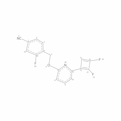 N#Cc1ccc(COc2cccc(C3=C(F)C(F)=C3)n2)c(F)c1